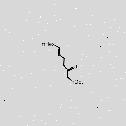 CCCCCCC=CCCC(=O)CCCCCCCCC